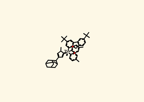 [CH2]=[Zr]([C]1=CC(C2C3CC4CC(C3)CC2C4)=CC1C)([c]1ccc(C)cc1)([c]1ccc(C)cc1)[c]1cc(C(C)(C)C)cc2c1Cc1ccc(C(C)(C)C)cc1-2